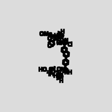 COC(=O)N[C@H](C(=O)N1[C@@H]2C[C@@H]2C[C@H]1c1nc(Cl)c(-c2ccc3cc(-c4ccc(-c5c[nH]c([C@@H]6C[C@H]7C[C@H]7N6C(=O)[C@H](C(C)C)N(C)C(=O)O)n5)cc4)ccc3c2)[nH]1)C1CCOCC1